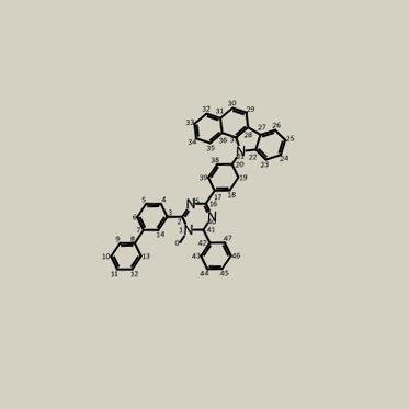 CN1C(c2cccc(-c3ccccc3)c2)=NC(C2=CCC(n3c4ccccc4c4ccc5ccccc5c43)C=C2)=NC1c1ccccc1